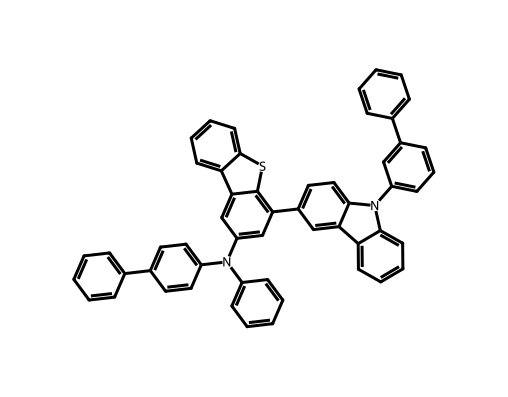 c1ccc(-c2ccc(N(c3ccccc3)c3cc(-c4ccc5c(c4)c4ccccc4n5-c4cccc(-c5ccccc5)c4)c4sc5ccccc5c4c3)cc2)cc1